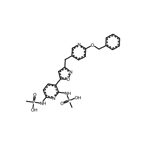 CP(=O)(O)Nc1ccc(-c2cc(Cc3ccc(OCc4ccccc4)nc3)no2)c(NP(C)(=O)O)n1